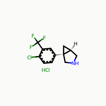 Cl.FC(F)(F)c1cc([C@@]23CNC[C@@H]2C3)ccc1Cl